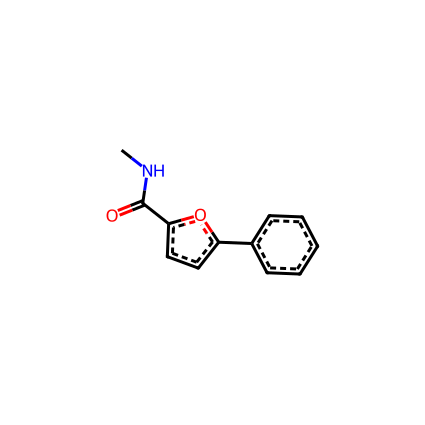 CNC(=O)c1ccc(-c2ccccc2)o1